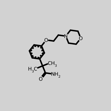 CC(C)(C(N)=O)c1cccc(OCCN2CCOCC2)c1